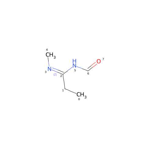 CC/C(=N/C)NC=O